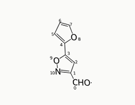 O=[C]c1cc(-c2ccco2)on1